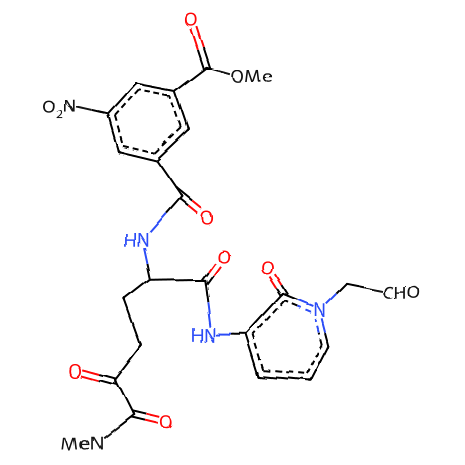 CNC(=O)C(=O)CCC(NC(=O)c1cc(C(=O)OC)cc([N+](=O)[O-])c1)C(=O)Nc1cccn(CC=O)c1=O